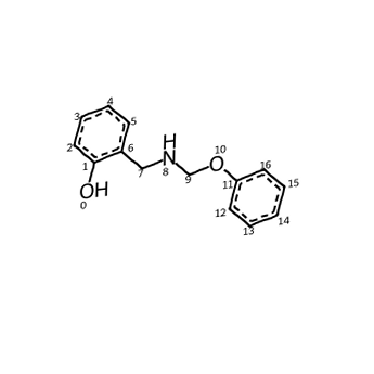 Oc1ccccc1CNCOc1ccccc1